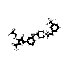 O=C(O)COc1c(C(=O)O)sc(-c2cccc(NC3CCN(S(=O)(=O)Cc4cccc(C(F)(F)F)c4)CC3)c2)c1Cl